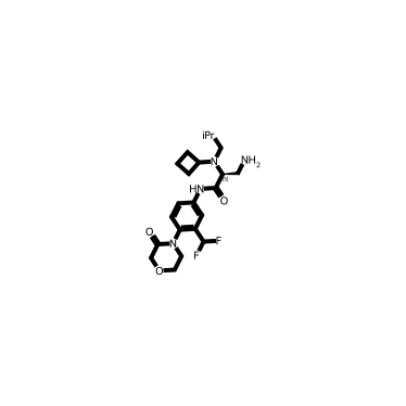 CC(C)CN(C1CCC1)[C@@H](CN)C(=O)Nc1ccc(N2CCOCC2=O)c(C(F)F)c1